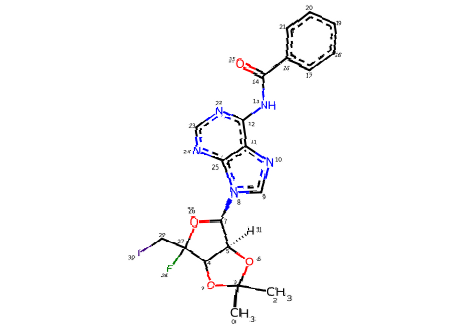 CC1(C)OC2[C@H](O1)[C@H](n1cnc3c(NC(=O)c4ccccc4)ncnc31)OC2(F)CI